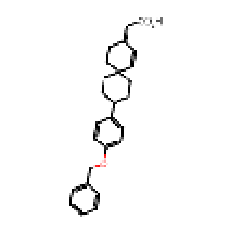 O=C(O)C=C1C=CC2(CC1)CCC(c1ccc(OCc3ccccc3)cc1)CC2